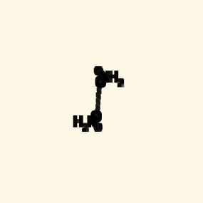 NC(COCCCCCCCCCCCCOC[C@@H](N)c1ccccc1)c1ccccc1